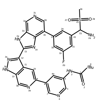 CC(C)(C)C(=O)Nc1cncc(-c2cc3c(-c4nc5c(-c6cc(F)cc(C(N)S(C)(=O)=O)c6)cncc5[nH]4)n[nH]c3cn2)c1